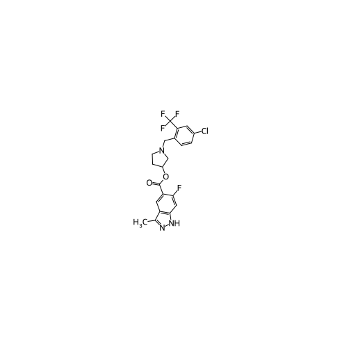 Cc1n[nH]c2cc(F)c(C(=O)OC3CCN(Cc4ccc(Cl)cc4C(F)(F)F)C3)cc12